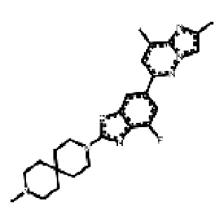 Cc1cn2nc(-c3cc(F)c4nc(N5CCC6(CCN(C)CC6)CC5)oc4c3)cc(C)c2n1